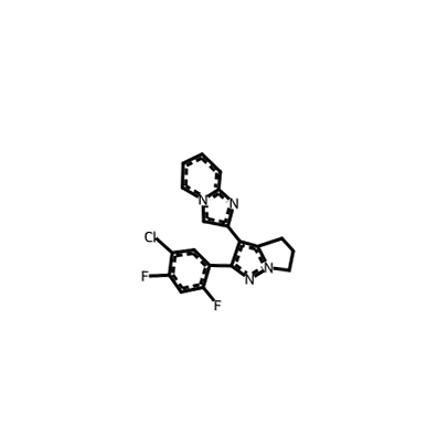 Fc1cc(F)c(-c2nn3c(c2-c2cn4ccccc4n2)CCC3)cc1Cl